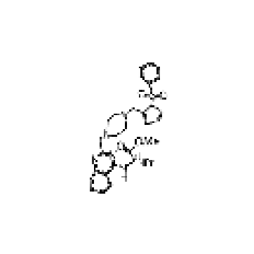 COC(=O)[C@@H](Nc1nc(CN2CCN(CC3=CC=CC3S(=O)(=O)c3ccccc3)CC2)nc2ccccc12)C(C)C